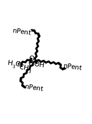 CCCCC/C=C\C/C=C\CCCCCCCCC(OC(=O)CCCN(C)C)C(O)(CCCCCCCC/C=C\C/C=C\CCCCC)CCCCCCCC/C=C\C/C=C\CCCCC